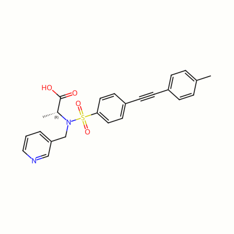 Cc1ccc(C#Cc2ccc(S(=O)(=O)N(Cc3cccnc3)[C@H](C)C(=O)O)cc2)cc1